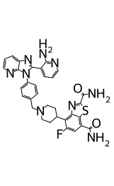 NC(=O)c1nc2c(C3CCN(Cc4ccc(-n5c(-c6cccnc6N)nc6cccnc65)cc4)CC3)c(F)cc(C(N)=O)c2s1